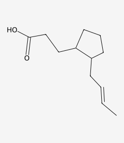 C/C=C/CC1CCCC1CCC(=O)O